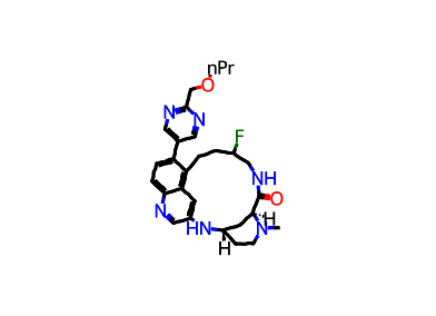 CCCOCc1ncc(-c2ccc3ncc4cc3c2CCC(F)CNC(=O)[C@@H]2C[C@H](CCN2C)N4)cn1